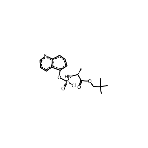 C[C@H](NP(=O)(Cl)Oc1cccc2ncccc12)C(=O)OCC(C)(C)C